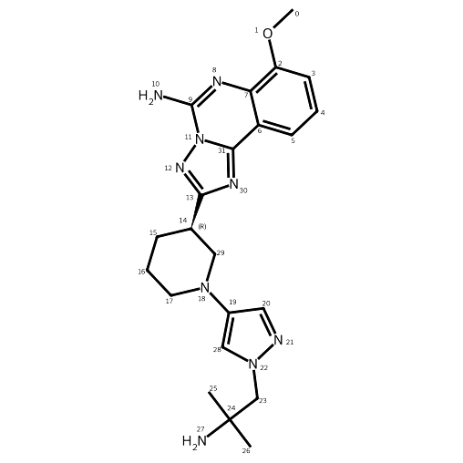 COc1cccc2c1nc(N)n1nc([C@@H]3CCCN(c4cnn(CC(C)(C)N)c4)C3)nc21